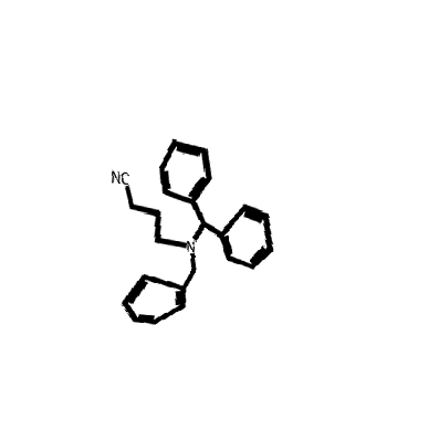 N#CCCCN(Cc1ccccc1)C(c1ccccc1)c1ccccc1